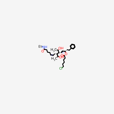 CCNC(=O)CCC/C=C\C[C@H]([C@@H](/C=C/[C@H](CCc1ccccc1)OC(=O)CCCCCCl)[C@@H](C)O)[C@H](C)O